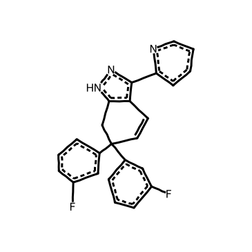 Fc1cccc(C2(c3cccc(F)c3)C=Cc3c(-c4ccccn4)n[nH]c3C2)c1